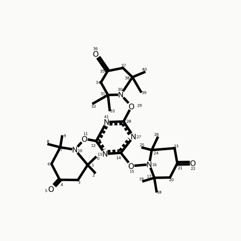 CC1(C)CC(=O)CC(C)(C)N1Oc1nc(ON2C(C)(C)CC(=O)CC2(C)C)nc(ON2C(C)(C)CC(=O)CC2(C)C)n1